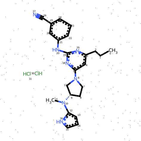 CCCc1cc(N2CC[C@H](N(C)c3ccc[nH]3)C2)nc(Nc2cccc(C#N)c2)n1.Cl.Cl